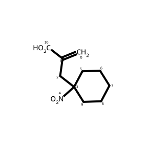 C=C(CC1([N+](=O)[O-])CCCCC1)C(=O)O